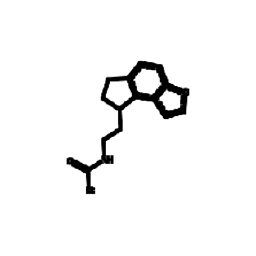 CCC(=O)NCCC1CCc2ccc3occc3c21